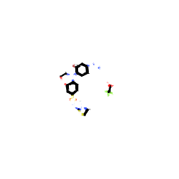 N=[N+]=Nc1ccc(N2CCOc3cc(S(=O)(=O)Nc4nccs4)ccc32)c(Br)c1.O=C([O-])C(F)(F)F